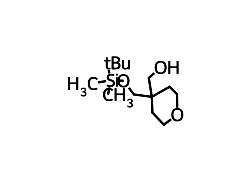 CC(C)(C)[Si](C)(C)OCC1(CO)CCOCC1